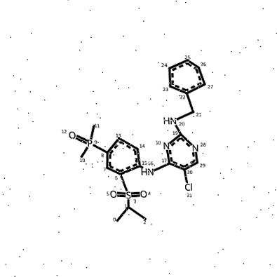 CC(C)S(=O)(=O)c1cc(P(C)(C)=O)ccc1Nc1nc(NCc2ccccc2)ncc1Cl